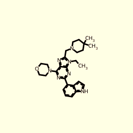 CCn1c(CN2CCC(C)(C)CC2)nc2c(N3CCOCC3)nc(-c3cccc4[nH]ccc34)nc21